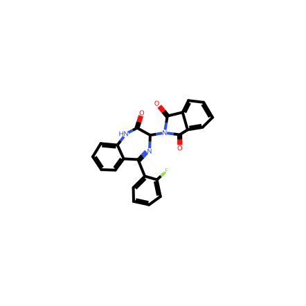 O=C1Nc2ccccc2C(c2ccccc2F)=NC1N1C(=O)c2ccccc2C1=O